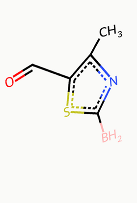 Bc1nc(C)c(C=O)s1